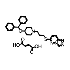 O=C(O)C=CC(=O)O.c1ccc(C(OC2CCN(CCCSc3ccc4nncn4n3)CC2)c2ccccc2)cc1